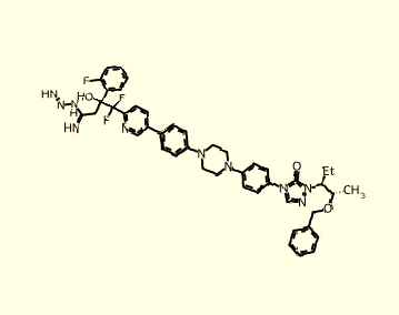 CC[C@@H]([C@H](C)OCc1ccccc1)n1ncn(-c2ccc(N3CCN(c4ccc(-c5ccc(C(F)(F)C(O)(CC(=N)NN=N)c6ccccc6F)nc5)cc4)CC3)cc2)c1=O